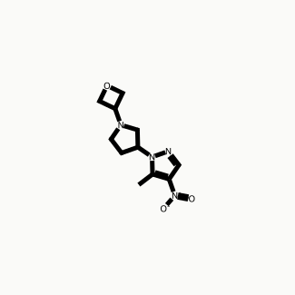 Cc1c([N+](=O)[O-])cnn1C1CCN(C2COC2)C1